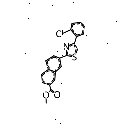 COC(=O)c1ccc2ccc(-c3nc(-c4ccccc4Cl)cs3)cc2c1